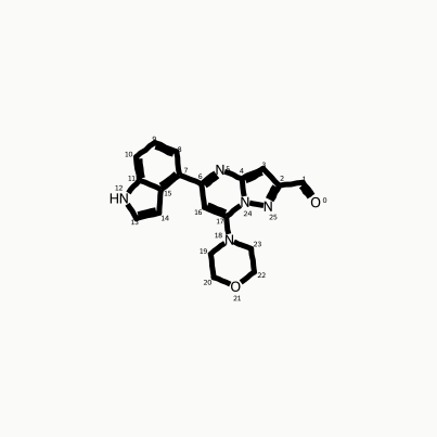 O=Cc1cc2nc(-c3cccc4[nH]ccc34)cc(N3CCOCC3)n2n1